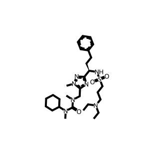 CCN(CC)CCCS(=O)(=O)N[C@H](CCc1ccccc1)c1nc(CN(C)C(=O)N(C)C2CCCCC2)n(C)n1